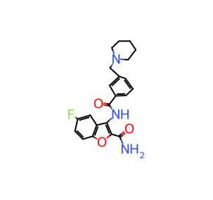 NC(=O)c1oc2ccc(F)cc2c1NC(=O)c1cccc(CN2CCCCC2)c1